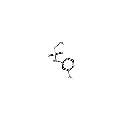 CCS(=O)(=O)Nc1cccc(C)c1